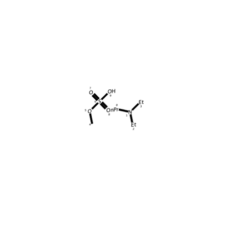 CCCN(CC)CC.COS(=O)(=O)O